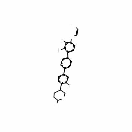 CCC/C=C\Oc1ccc(-c2ccc(-c3ccc(C4CCC(O)OC4)c(F)c3)cc2)c(F)c1F